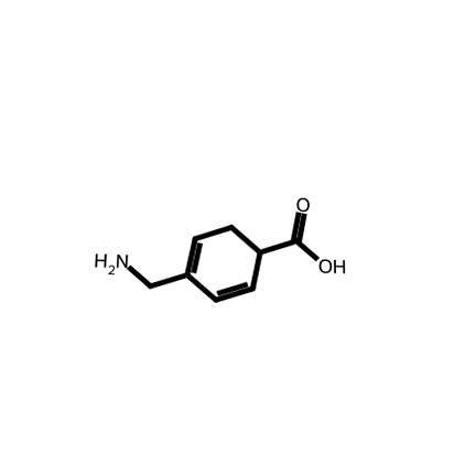 NCC1=CCC(C(=O)O)C=C1